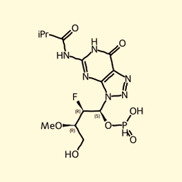 CO[C@H](CO)[C@@H](F)[C@H](O[PH](=O)O)n1nnc2c(=O)[nH]c(NC(=O)C(C)C)nc21